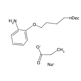 CCC(=O)[O-].CCCCCCCCCCCCCCOc1ccccc1N.[Na+]